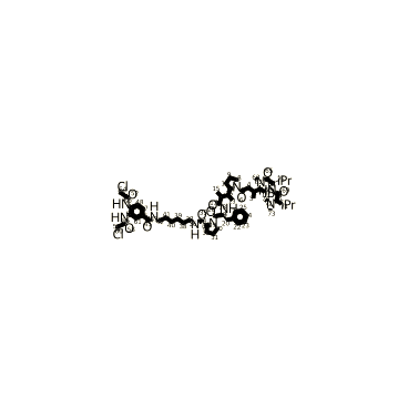 CCC(C)C(C(C)CC(=O)N1CCCC1C(C)C(C)C(=O)N[C@@H](Cc1ccccc1)C(=O)N1CCC[C@@H]1C(=O)NCCCCCCNC(=O)c1ccc(NC(=O)CCl)c(NC(=O)CCl)c1)N(C)C(=O)[C@@H](NC(=O)C(C(C)C)N(C)C)C(C)C